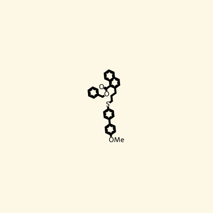 COc1ccc(-c2ccc(SCCCc3ccc4ccccc4c3C(=O)OCc3ccccc3)cc2)cc1